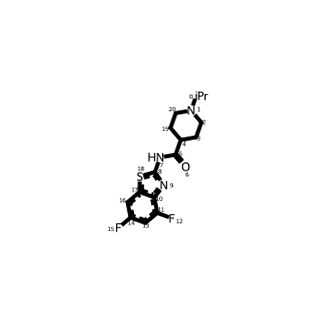 CC(C)N1CCC(C(=O)Nc2nc3c(F)cc(F)cc3s2)CC1